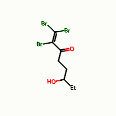 CCC(O)CCC(=O)C(Br)=C(Br)Br